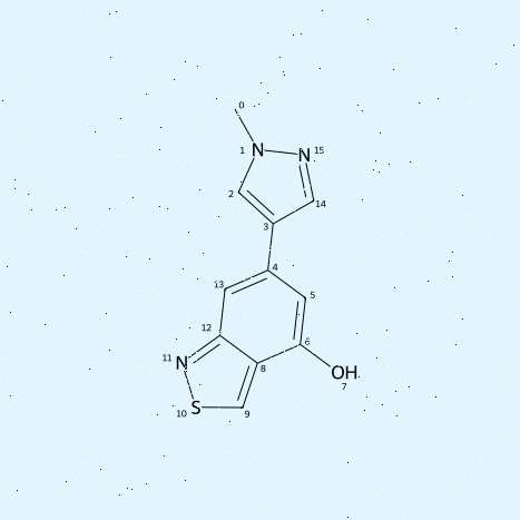 Cn1cc(-c2cc(O)c3csnc3c2)cn1